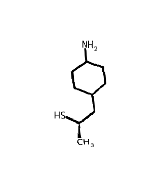 C[C@@H](S)CC1CCC(N)CC1